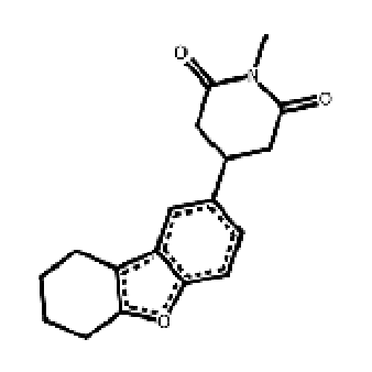 CN1C(=O)CC(c2ccc3oc4c(c3c2)CCCC4)CC1=O